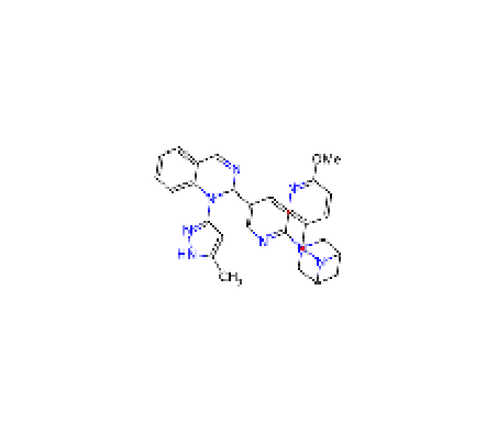 COc1ccc(CN2C3CC2CN(c2ccc(C4N=Cc5ccccc5N4c4cc(C)[nH]n4)cn2)C3)cn1